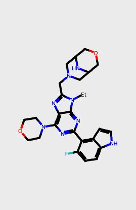 CCn1c(CN2CC3COCC(C2)N3)nc2c(N3CCOCC3)nc(-c3c(F)ccc4[nH]ccc34)nc21